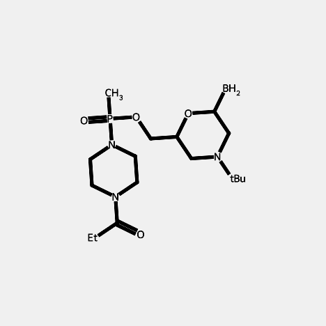 BC1CN(C(C)(C)C)CC(COP(C)(=O)N2CCN(C(=O)CC)CC2)O1